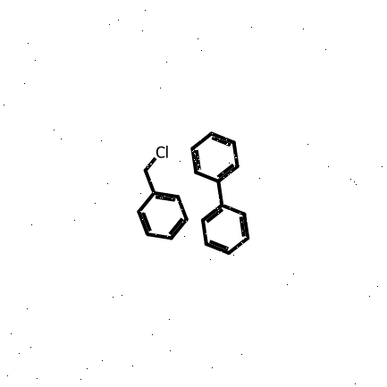 ClCc1ccccc1.c1ccc(-c2ccccc2)cc1